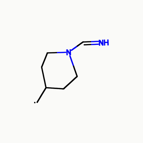 [CH2]C1CCN(C=N)CC1